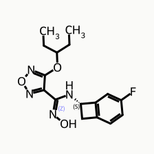 CCC(CC)Oc1nonc1/C(=N/O)N[C@H]1Cc2ccc(F)cc21